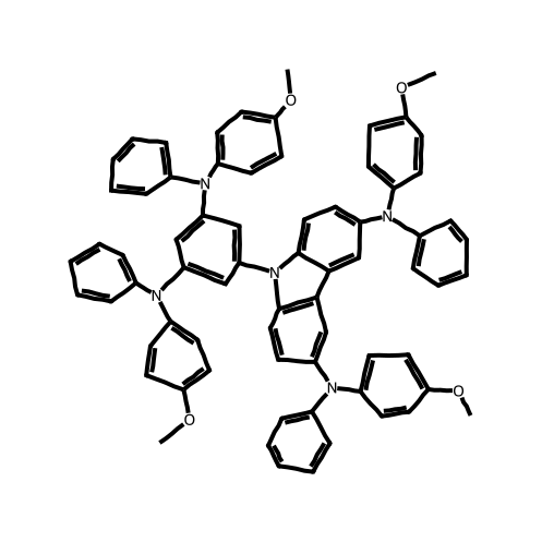 COc1ccc(N(c2ccccc2)c2cc(N(c3ccccc3)c3ccc(OC)cc3)cc(-n3c4ccc(N(c5ccccc5)c5ccc(OC)cc5)cc4c4cc(N(c5ccccc5)c5ccc(OC)cc5)ccc43)c2)cc1